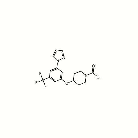 O=C(O)N1CCC(Oc2cc(-n3cccn3)cc(C(F)(F)F)c2)CC1